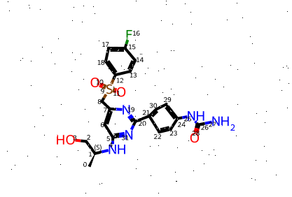 C[C@@H](CO)Nc1cc(CS(=O)(=O)c2ccc(F)cc2)nc(-c2ccc(NC(N)=O)cc2)n1